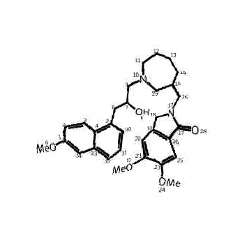 COc1ccc2c(CC(O)CN3CCCCC(CN4Cc5cc(OC)c(OC)cc5C4=O)C3)cccc2c1